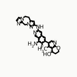 Cc1c(-c2cc3cc(Nc4cc5n(n4)Cc4nccn4CC5)ncc3c(N)c2F)cnc2c1[C@H](O)CCO2